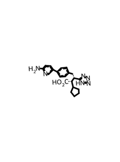 Nc1ccc(-c2ccc(C[C@H](c3nnn[nH]3)[C@@H](C(=O)O)C3CCCC3)cc2)cn1